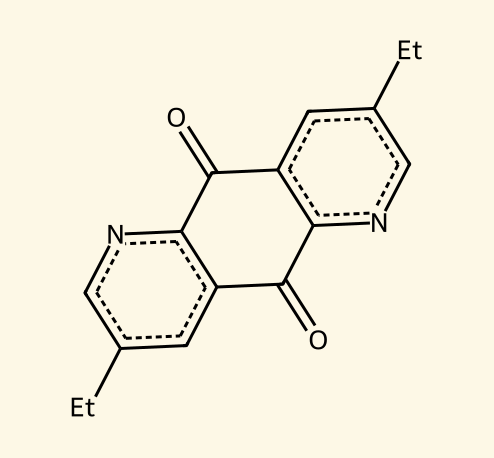 CCc1cnc2c(c1)C(=O)c1ncc(CC)cc1C2=O